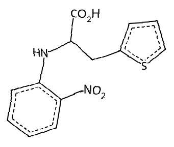 O=C(O)C(Cc1cccs1)Nc1ccccc1[N+](=O)[O-]